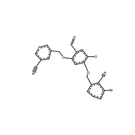 N#Cc1cncc(COc2cc(OCc3cccc(Br)c3C#N)c(Cl)cc2C=O)c1